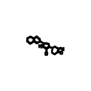 O=c1[nH]c(-c2ccc3ccccc3c2)ccc1C1CCc2oncc2C1